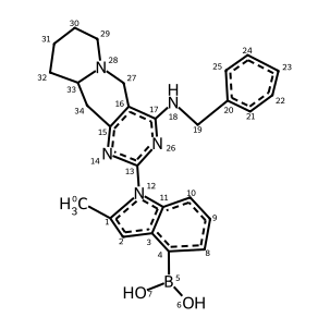 Cc1cc2c(B(O)O)cccc2n1-c1nc2c(c(NCc3ccccc3)n1)CN1CCCCC1C2